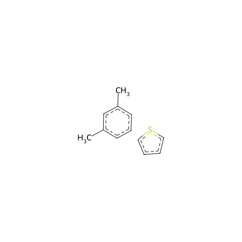 Cc1cccc(C)c1.c1ccsc1